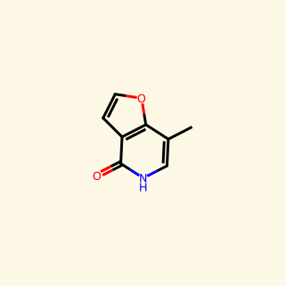 Cc1c[nH]c(=O)c2ccoc12